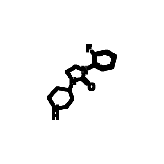 O=C1N(c2ccccc2F)CCN1C1CCNCC1